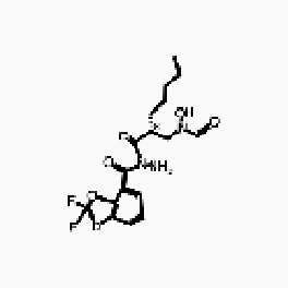 CCCCC[C@H](CN(O)C=O)C(=O)N(N)C(=O)c1cccc2c1OC(F)(F)O2